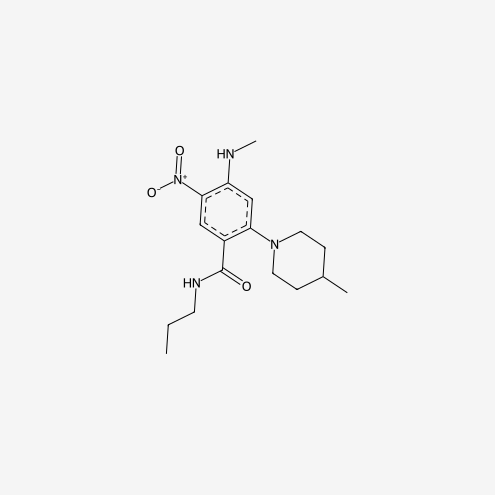 CCCNC(=O)c1cc([N+](=O)[O-])c(NC)cc1N1CCC(C)CC1